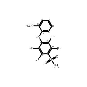 NS(=O)(=O)c1c(F)c(F)c(Sc2ccccc2C(=O)O)c(F)c1F